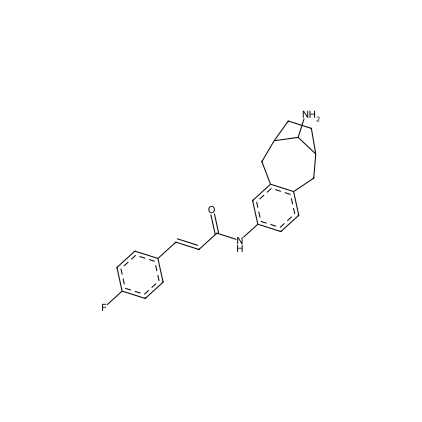 NC1C2CCC1Cc1cc(NC(=O)/C=C/c3ccc(F)cc3)ccc1C2